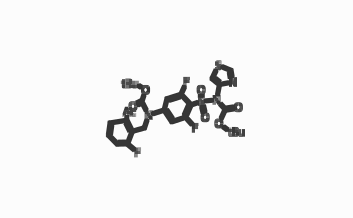 CC(=O)c1cccc(F)c1CN(C(=O)OC(C)(C)C)c1cc(F)c(S(=O)(=O)N(C(=O)OC(C)(C)C)c2cscn2)c(F)c1